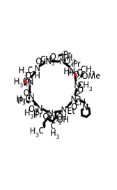 C/C=C/C[C@@H](C)[C@@H](O)[C@H]1C(=O)N[C@@H](CC)C(=O)N(C)[C@H](SCCN2CCCCC2)C(=O)N(C)[C@@H](CC(C)(C)OC)C(=O)N[C@@H](C(C)C)C(=O)N(C)[C@@H](CC(C)C)C(=O)N[C@@H](C)C(=O)N[C@H](C)C(=O)N(C)[C@@H](CC(C)C)C(=O)N(C)[C@@H](CC(C)C)C(=O)N(C)[C@@H](C(C)C)C(=O)N1C